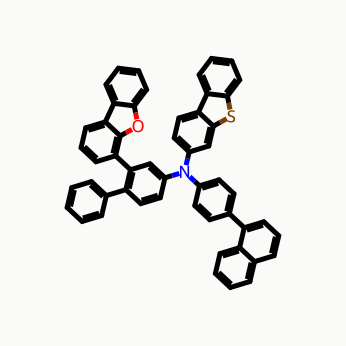 c1ccc(-c2ccc(N(c3ccc(-c4cccc5ccccc45)cc3)c3ccc4c(c3)sc3ccccc34)cc2-c2cccc3c2oc2ccccc23)cc1